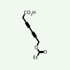 CCC(=O)OCC#CC#CCC(=O)O